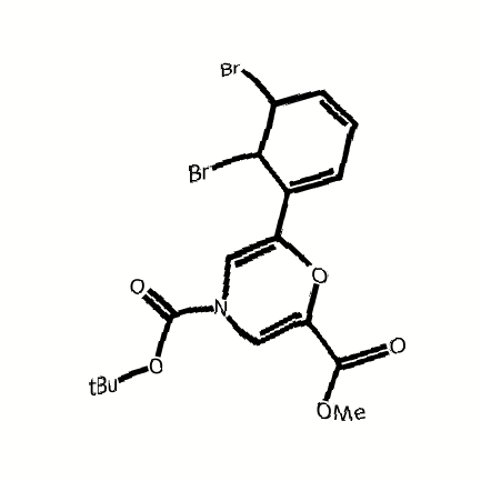 COC(=O)C1=CN(C(=O)OC(C)(C)C)C=C(C2=CC=CC(Br)C2Br)O1